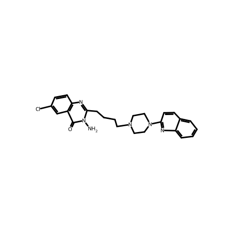 Nn1c(CCCCN2CCN(c3ccc4ccccc4n3)CC2)nc2ccc(Cl)cc2c1=O